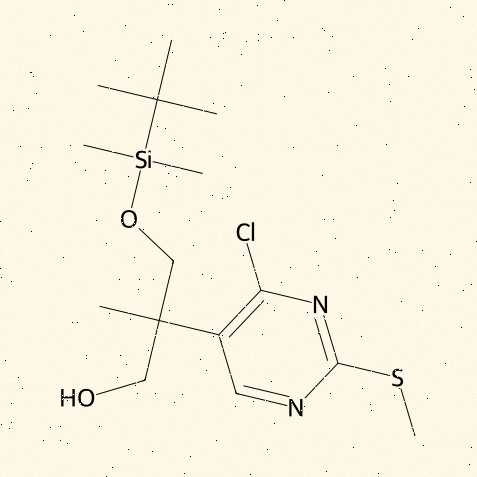 CSc1ncc(C(C)(CO)CO[Si](C)(C)C(C)(C)C)c(Cl)n1